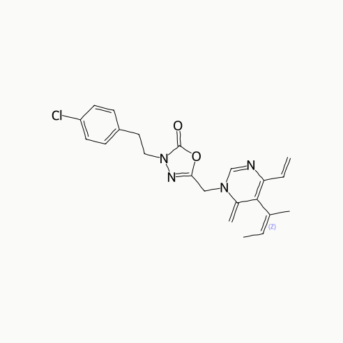 C=CC1=C(/C(C)=C\C)C(=C)N(Cc2nn(CCc3ccc(Cl)cc3)c(=O)o2)C=N1